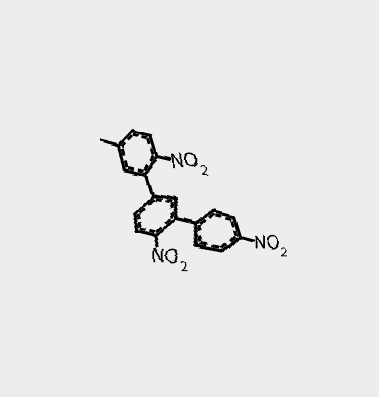 Cc1ccc([N+](=O)[O-])c(-c2ccc([N+](=O)[O-])c(-c3ccc([N+](=O)[O-])cc3)c2)c1